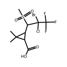 CC1(C)C(C(=O)O)C1C(C(Cl)(Br)C(F)(F)F)S(C)(=O)=O